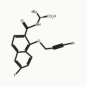 CC(C)C#CCOc1c(C(=O)N[C@H](C(=O)O)C(C)(C)C)ccc2cc(F)ccc12